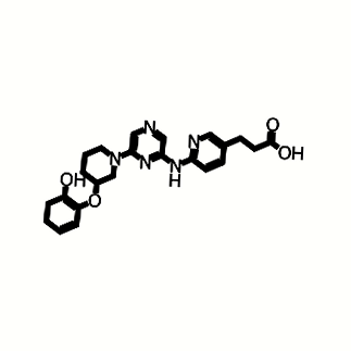 O=C(O)CCc1ccc(Nc2cncc(N3CCCC(OC4=C(O)CCC=C4)C3)n2)nc1